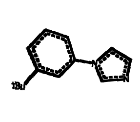 CC(C)(C)c1cccc(-n2ccnc2)c1